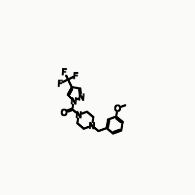 COc1cccc(CN2CCN(C(=O)n3cc(C(F)(F)F)cn3)CC2)c1